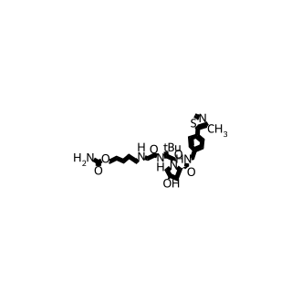 Cc1ncsc1-c1ccc(CNC(=O)[C@@H]2C[C@@H](O)CN2C(=O)C(NC(=O)CNCCCCCOC(N)=O)C(C)(C)C)cc1